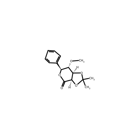 CO[C@@H]1[C@H]2OC(C)(C)O[C@H]2C(=O)O[C@H]1c1ccccc1